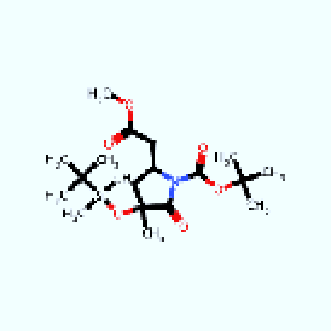 COC(=O)C[C@@H]1CC(C)(O[Si](C)(C)C(C)(C)C)C(=O)N1C(=O)OC(C)(C)C